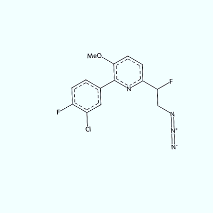 COc1ccc(C(F)CN=[N+]=[N-])nc1-c1ccc(F)c(Cl)c1